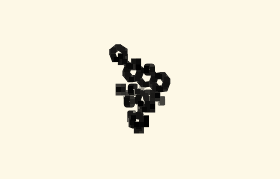 CC(C)(C(=O)Nc1nncs1)[C@H]1c2ccccc2Oc2nc(N3CCCC3)ccc21